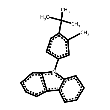 Cc1cc(-n2c3ccccc3c3ccccc32)ccc1C(C)(C)C